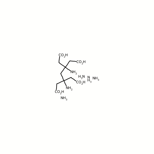 N.N.N.N.NC(CC(=O)O)(CC(=O)O)CC(N)(CC(=O)O)CC(=O)O